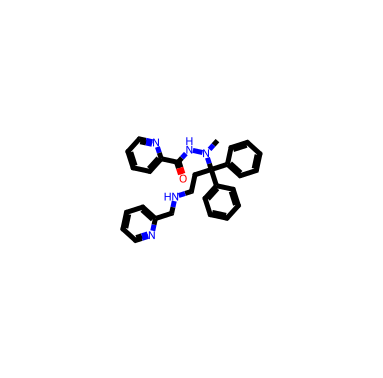 CN(NC(=O)c1ccccn1)C(CCNCc1ccccn1)(c1ccccc1)c1ccccc1